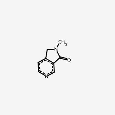 CN1Cc2ccncc2C1=O